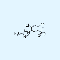 O=S(=O)(F)c1cc(-n2cnc(C(F)(F)F)n2)c(Cl)cc1C1CC1